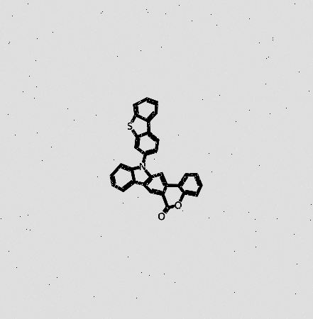 O=c1oc2ccccc2c2cc3c(cc12)c1ccccc1n3-c1ccc2c(c1)sc1ccccc12